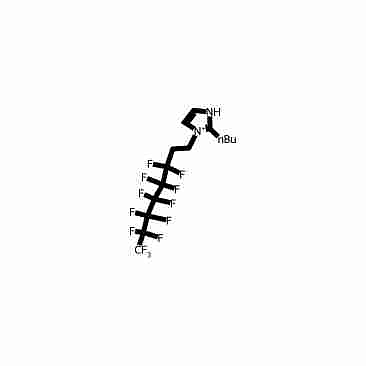 CCCCc1[nH]cc[n+]1CCC(F)(F)C(F)(F)C(F)(F)C(F)(F)C(F)(F)C(F)(F)F